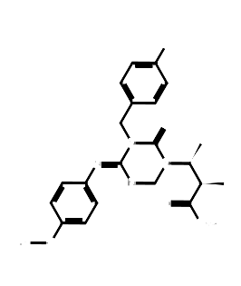 CCCOc1ccc(/N=C2\NCN([C@@H](C)[C@@H](C)C(=O)OC)C(=O)N2Cc2ccc(Cl)cc2)cc1